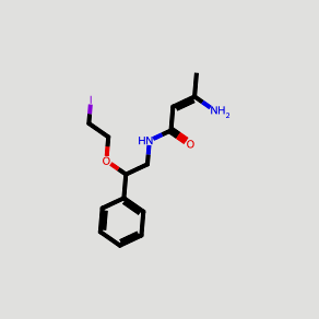 CC(N)=CC(=O)NCC(OCCI)c1ccccc1